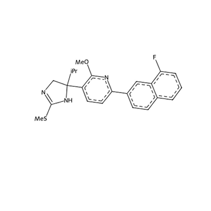 COc1nc(-c2ccc3cccc(F)c3c2)ccc1C1(C(C)C)CN=C(SC)N1